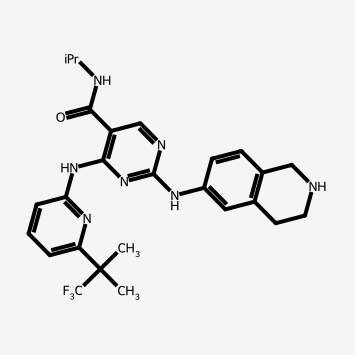 CC(C)NC(=O)c1cnc(Nc2ccc3c(c2)CCNC3)nc1Nc1cccc(C(C)(C)C(F)(F)F)n1